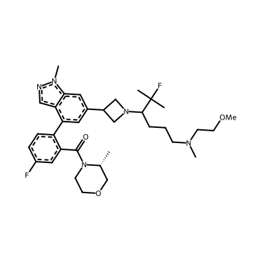 COCCN(C)CCCC(N1CC(c2cc(-c3ccc(F)cc3C(=O)N3CCOC[C@H]3C)c3cnn(C)c3c2)C1)C(C)(C)F